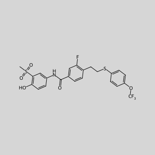 CS(=O)(=O)c1cc(NC(=O)c2ccc(CCSc3ccc(OC(F)(F)F)cc3)c(F)c2)ccc1O